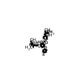 C=C/C(=C\C=C(/C)Oc1cc(NC(=O)N2CCC(O)(CC(CC)CC)CC2)cc(Oc2ccc(F)cc2)c1)C(=O)NCC